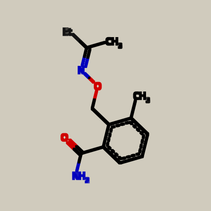 CCC(C)=NOCc1c(C)cccc1C(N)=O